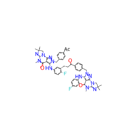 CC(=O)c1ccc(Cn2nc3c(c2Nc2ccc(F)c(CCC(=O)c4ccc(Cn5nc6c(c5Nc5ccc(F)cc5)C(=O)N(C)C5=NC(C)(C)CN56)cc4)c2)C(=O)N(C)C2=NC(C)(C)CN23)cc1